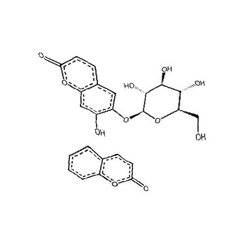 O=c1ccc2cc(O[C@@H]3O[C@H](CO)[C@@H](O)[C@H](O)[C@H]3O)c(O)cc2o1.O=c1ccc2ccccc2o1